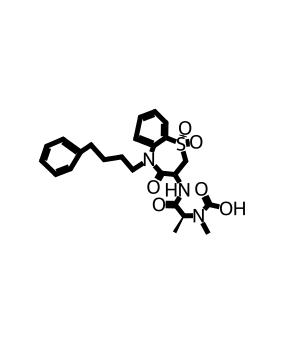 C[C@@H](C(=O)NC1CS(=O)(=O)c2ccccc2N(CCCCc2ccccc2)C1=O)N(C)C(=O)O